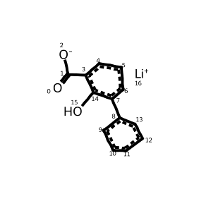 O=C([O-])c1cccc(-c2ccccc2)c1O.[Li+]